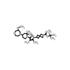 COC1COCCN(C2CCN(c3nn(C4CC5(C4)CN(C(=O)OC(C)(C)C)C5)c(C)c3C)C(C)(C)C2)C1